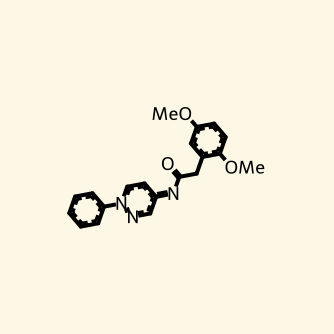 COc1ccc(OC)c(CC(=O)N=c2ccn(-c3ccccc3)nc2)c1